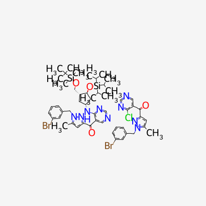 Cc1cc(C(=O)c2cncnc2Cl)nn1Cc1cccc(Br)c1.Cc1cc(C(=O)c2cncnc2N[C@@H]2C[C@H](CO[Si](C)(C)C(C)(C)C)[C@@H](O[Si](C(C)C)(C(C)C)C(C)C)C2)nn1Cc1cccc(Br)c1